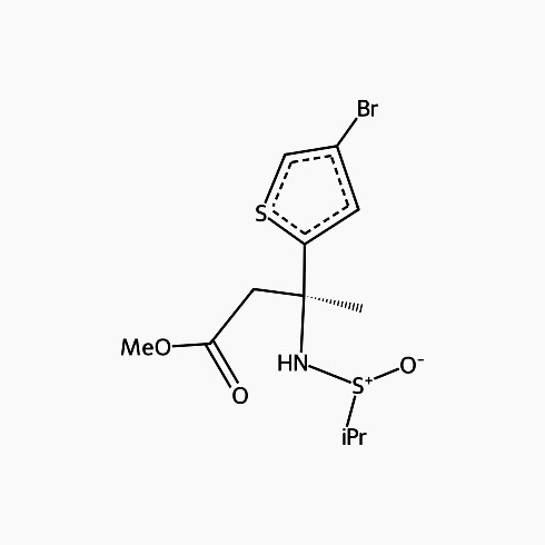 COC(=O)C[C@](C)(N[S+]([O-])C(C)C)c1cc(Br)cs1